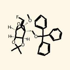 CO[C@H]1O[C@H]2/C(=C\F)[C@]1(COC(c1ccccc1)(c1ccccc1)c1ccccc1)[C@H]1OC(C)(C)O[C@@H]21